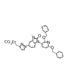 CCOC(=O)Cc1ccn(-c2ccc3c(c2)n(C)c(=O)n3-c2ccc(OCc3ccccc3)nc2OCc2ccccc2)n1